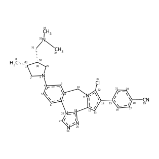 C[C@H]1CN(c2ccc3c(c2)Cn2c(cc(-c4ccc(C#N)cc4)c2Cl)-c2nncn2-3)C[C@H]1CN(C)C